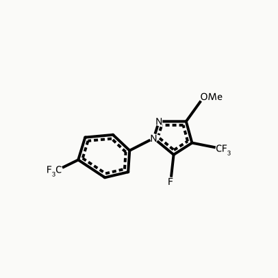 COc1nn(-c2ccc(C(F)(F)F)cc2)c(F)c1C(F)(F)F